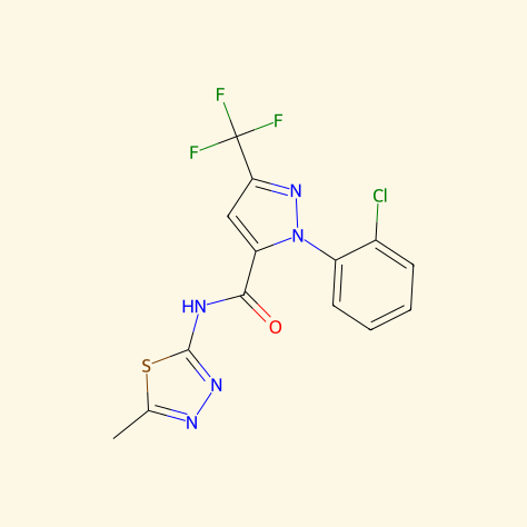 Cc1nnc(NC(=O)c2cc(C(F)(F)F)nn2-c2ccccc2Cl)s1